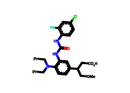 COCC(CC(=O)O)c1ccc(N(CC(C)C)CC(C)C)c(NC(=O)Nc2ccc(Cl)cc2F)c1